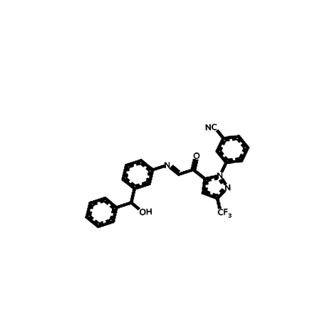 N#Cc1cccc(-n2nc(C(F)(F)F)cc2C(=O)/C=N/c2cccc(C(O)c3ccccc3)c2)c1